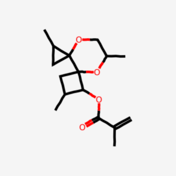 C=C(C)C(=O)OC1C(C)CC12OC(C)COC21CC1C